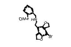 COc1ccccc1CNCCc1c2c(c(Br)c3c1OCC3)OCC2